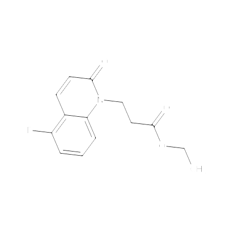 CCOC(=O)CCn1c(=O)ccc2c(F)cccc21